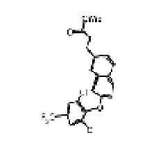 COC(=O)CCc1ccc2ccc(Oc3c(Cl)cc(C(F)(F)F)cc3Cl)cc2c1